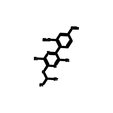 CCc1nc(-c2ccc(OC)cc2OC)c(CC)nc1OC(C(C)C)C(C)C